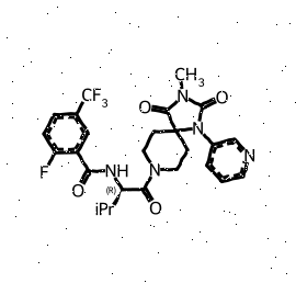 CC(C)[C@@H](NC(=O)c1cc(C(F)(F)F)ccc1F)C(=O)N1CCC2(CC1)C(=O)N(C)C(=O)N2c1cccnc1